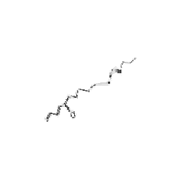 C=CC=CC(=O)CCCCCCCCCCC